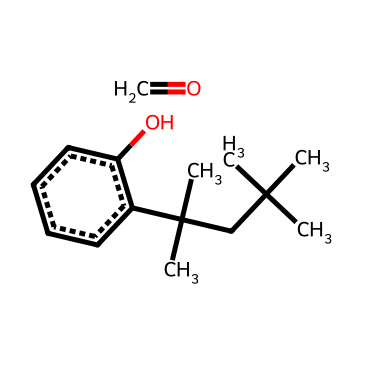 C=O.CC(C)(C)CC(C)(C)c1ccccc1O